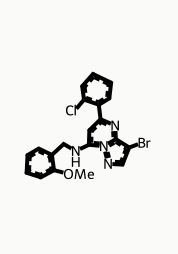 COc1ccccc1CNc1cc(-c2ccccc2Cl)nc2c(Br)cnn12